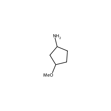 COC1CCC(N)C1